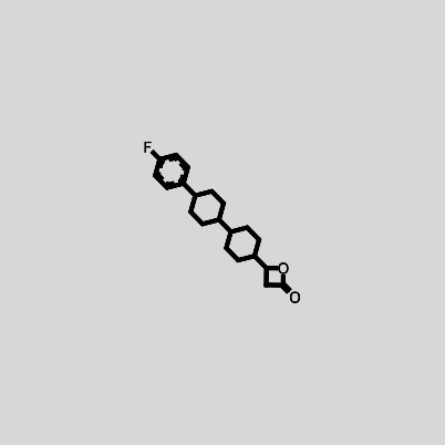 O=C1CC(C2CCC(C3CCC(c4ccc(F)cc4)CC3)CC2)O1